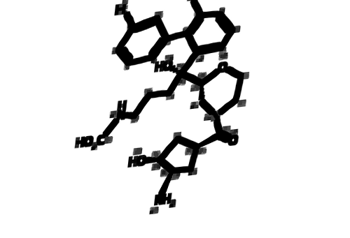 CCc1cccc(-c2c(F)cccc2[C@](O)(CCCNC(=O)O)[C@H]2CN(C(=O)[C@H]3C[C@@H](N)[C@@H](O)C3)CCO2)c1